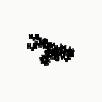 Cn1nccc1-c1cccc(CNC(=O)[C@H](CCc2ccccc2)NC(=O)[C@@H](N)CC(=O)N(CCN)CCN)c1